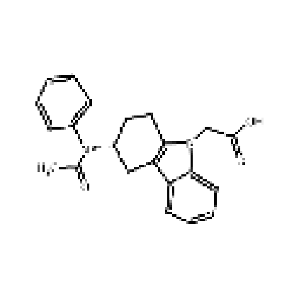 CC(=O)N(c1ccccc1)[C@@H]1CCc2c(c3ccccc3n2CC(=O)O)C1